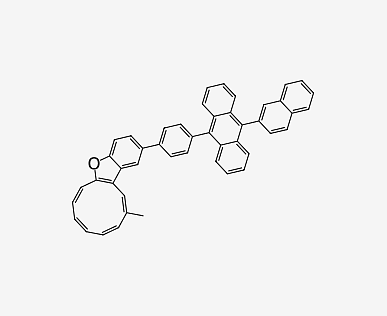 Cc1ccccccc2oc3ccc(-c4ccc(-c5c6ccccc6c(-c6ccc7ccccc7c6)c6ccccc56)cc4)cc3c2c1